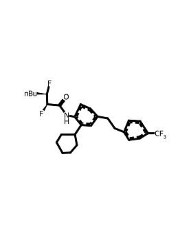 CCCC[C@@H](F)[C@H](F)C(=O)Nc1ccc(CCc2ccc(C(F)(F)F)cc2)cc1C1CCCCC1